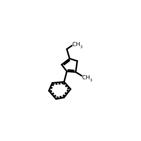 CCC1=CC(c2ccccc2)=C(C)C1